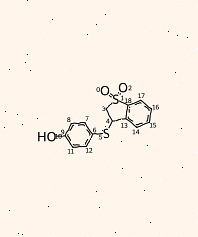 O=S1(=O)CC(Sc2ccc(O)cc2)c2ccccc21